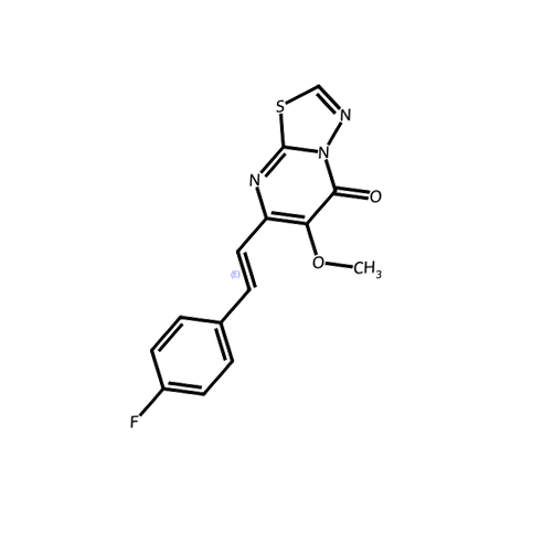 COc1c(/C=C/c2ccc(F)cc2)nc2scnn2c1=O